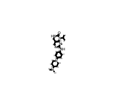 CC(C)N1C(=O)NCc2cnc(Nc3ccc(N4CCC(N(C)C)CC4)cc3)nc21